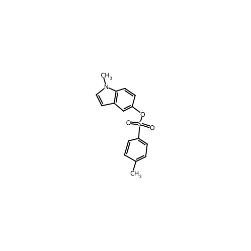 Cc1ccc(S(=O)(=O)Oc2ccc3c(ccn3C)c2)cc1